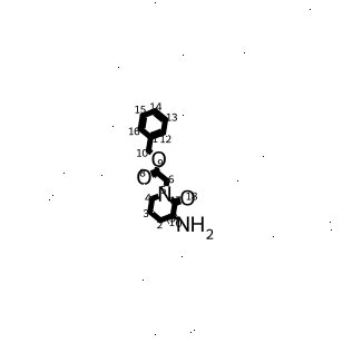 N[C@H]1CCCN(CC(=O)OCc2ccccc2)C1=O